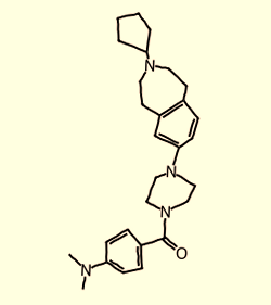 CN(C)c1ccc(C(=O)N2CCN(c3ccc4c(c3)CCN(C3CCCC3)CC4)CC2)cc1